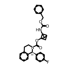 O=C(NC1C2CC1(OC(=O)N1CCc3ccccc3[C@@H]1c1ccc(F)cc1)C2)OCc1ccccc1